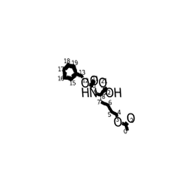 CC(=O)OCCCC[C@H](NC(=O)OCc1ccccc1)C(=O)O